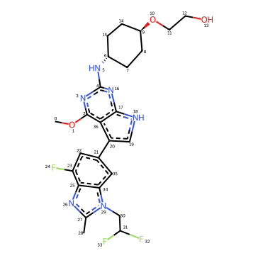 COc1nc(N[C@H]2CC[C@H](OCCO)CC2)nc2[nH]cc(-c3cc(F)c4nc(C)n(CC(F)F)c4c3)c12